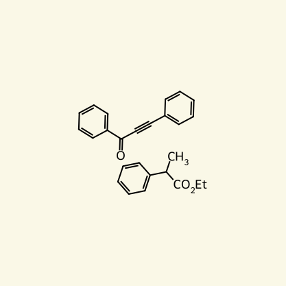 CCOC(=O)C(C)c1ccccc1.O=C(C#Cc1ccccc1)c1ccccc1